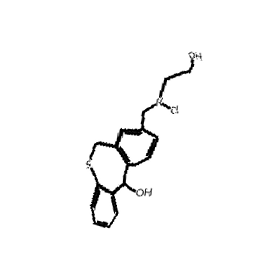 OCCN(Cl)Cc1ccc2c(c1)CSc1ccccc1C2O